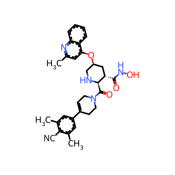 Cc1cc(O[C@@H]2CN[C@H](C(=O)N3CC=C(c4cc(C)c(C#N)c(C)c4)CC3)[C@@H](C(=O)NO)C2)c2ccccc2n1